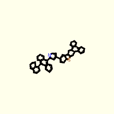 c1ccc2c(-c3c4ccccc4c(-c4cc(-c5ccc6sc7cc8c9ccccc9c9ccccc9c8cc7c6c5)ccn4)c4ccccc34)cccc2c1